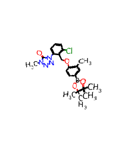 Cc1cc(B2OC(C)(C)C(C)(C)O2)ccc1OCc1c(Cl)cccc1-n1nnn(C)c1=O